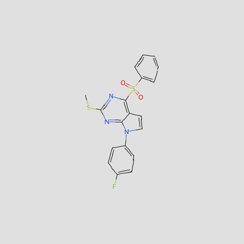 CSc1nc(S(=O)(=O)c2ccccc2)c2ccn(-c3ccc(F)cc3)c2n1